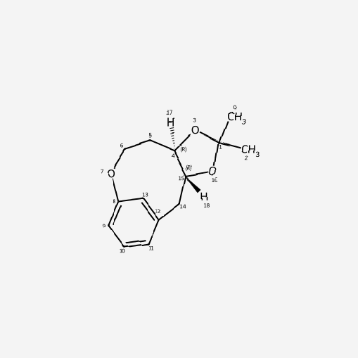 CC1(C)O[C@@H]2CCOc3cccc(c3)C[C@H]2O1